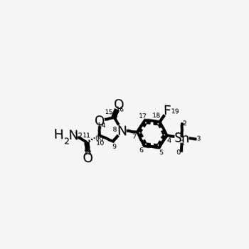 [CH3][Sn]([CH3])([CH3])[c]1ccc(N2C[C@H](C(N)=O)OC2=O)cc1F